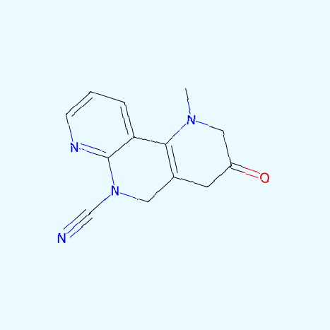 CN1CC(=O)CC2=C1c1cccnc1N(C#N)C2